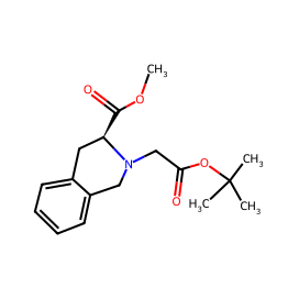 COC(=O)[C@@H]1Cc2ccccc2CN1CC(=O)OC(C)(C)C